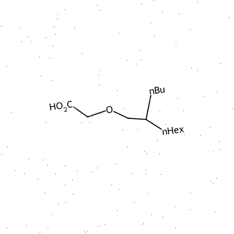 CCCCCCC(CCCC)COCC(=O)O